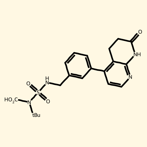 CC(C)(C)N(C(=O)O)S(=O)(=O)NCc1cccc(-c2ccnc3c2CCC(=O)N3)c1